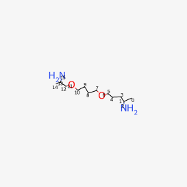 CC(N)CCCOCCCCOCC(C)N